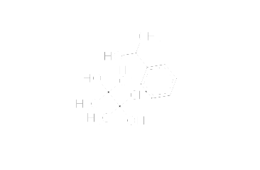 CC(C)(O)C(C)(C)O.CC(O)c1ccccc1